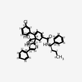 CCC[C@@H](NC(=O)C1=CC=C(c2cccc(Cl)c2)C(C(=O)O)(c2ncc(-c3ccccc3)[nH]2)C1)c1ccccc1